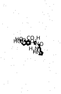 N[C@H](Cc1ccc[nH]1)C(=O)N1CC(Oc2ccc3c(c2C(=O)O)O[B-](O)(O)CC3)C1